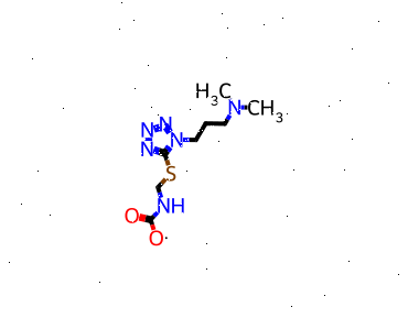 CN(C)CCCn1nnnc1SCNC([O])=O